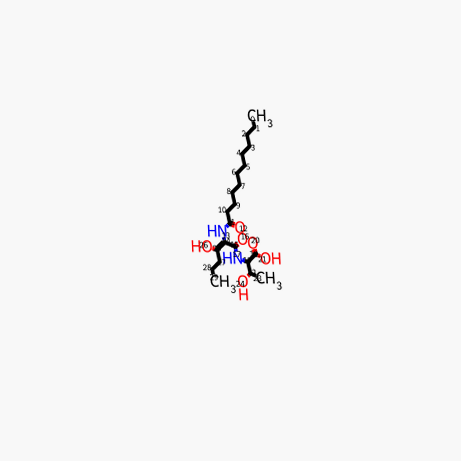 CCCCCCCCCCCC(=O)NC(C(=O)NC(C(=O)O)C(C)O)=C(O)CCC